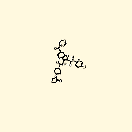 O=C(Nc1ccc(Cl)cn1)c1oc2cc(C(=O)N3CCOCC3)cnc2c1NC(=O)[C@H]1CC[C@H](N2CCCC2=O)CC1